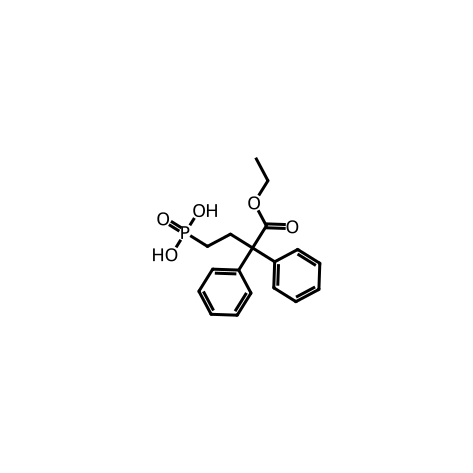 CCOC(=O)C(CCP(=O)(O)O)(c1ccccc1)c1ccccc1